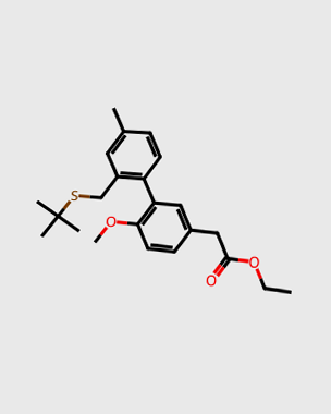 CCOC(=O)Cc1ccc(OC)c(-c2ccc(C)cc2CSC(C)(C)C)c1